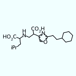 CC(C)CC(NCC(C(=O)O)c1coc(CCC2CCCCC2)n1)C(=O)O